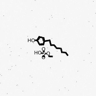 CCCCCCCCc1ccc(O)cc1.CCOS(=O)(=O)O